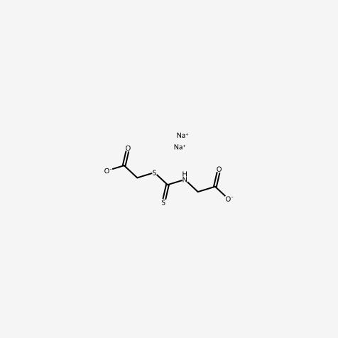 O=C([O-])CNC(=S)SCC(=O)[O-].[Na+].[Na+]